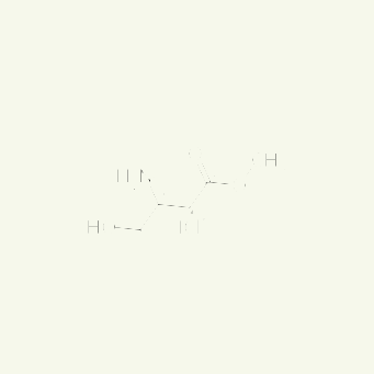 COC(=O)CC(N)CO.Cl